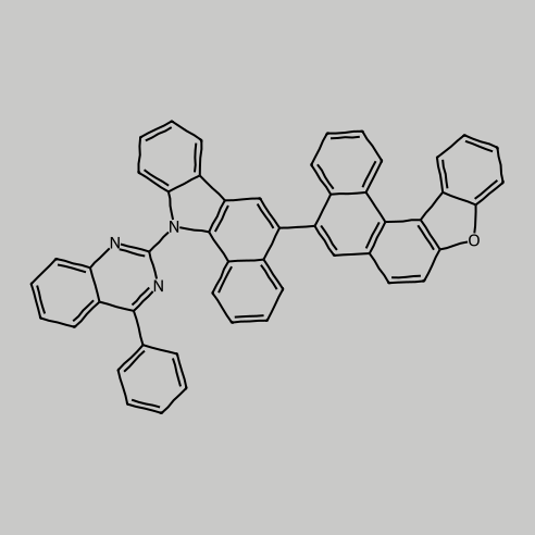 c1ccc(-c2nc(-n3c4ccccc4c4cc(-c5cc6ccc7oc8ccccc8c7c6c6ccccc56)c5ccccc5c43)nc3ccccc23)cc1